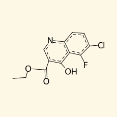 CCOC(=O)c1cnc2ccc(Cl)c(F)c2c1O